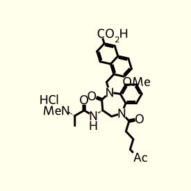 CN[C@@H](C)C(=O)N[C@H]1CN(C(=O)CCCC(C)=O)c2ccccc2N(Cc2c(OC)ccc3cc(C(=O)O)ccc23)C1=O.Cl